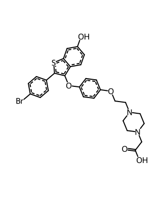 O=C(O)CN1CCN(CCOc2ccc(Oc3c(-c4ccc(Br)cc4)sc4cc(O)ccc34)cc2)CC1